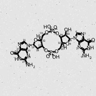 Nc1nc2c(ncn2[C@@H]2O[C@@H]3COP(=O)(O)OC4C[C@H](n5cnc6c(=O)[nH]c(N)nc65)O[C@@H]4COP(=O)(O)OC3C2O)c(=O)[nH]1